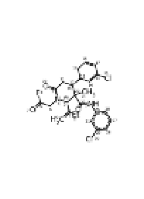 C=C(CC)[C@H]1N(CC(=O)F)C(=O)C[C@@H](C2C=C(Cl)C=CC2)C1(C)C(=O)Nc1cccc(Cl)c1